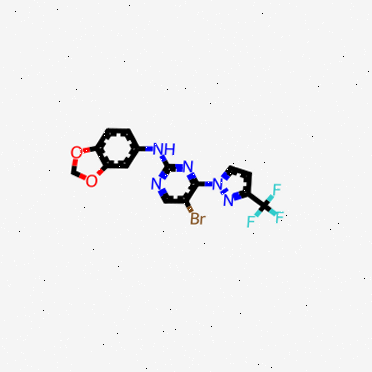 FC(F)(F)c1ccn(-c2nc(Nc3ccc4c(c3)OCO4)ncc2Br)n1